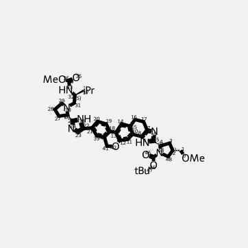 COC[C@H]1C[C@@H](c2nc3c([nH]2)-c2cc4c(cc2CC3)-c2ccc(-c3cnc([C@@H]5CCCN5C[C@@H](NC(=O)OC)C(C)C)[nH]3)cc2CO4)N(C(=O)OC(C)(C)C)C1